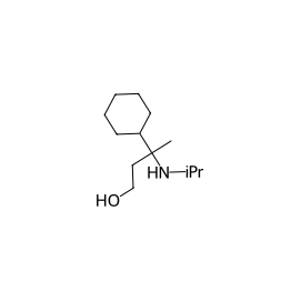 CC(C)NC(C)(CCO)C1CCCCC1